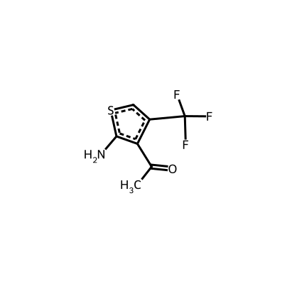 CC(=O)c1c(C(F)(F)F)csc1N